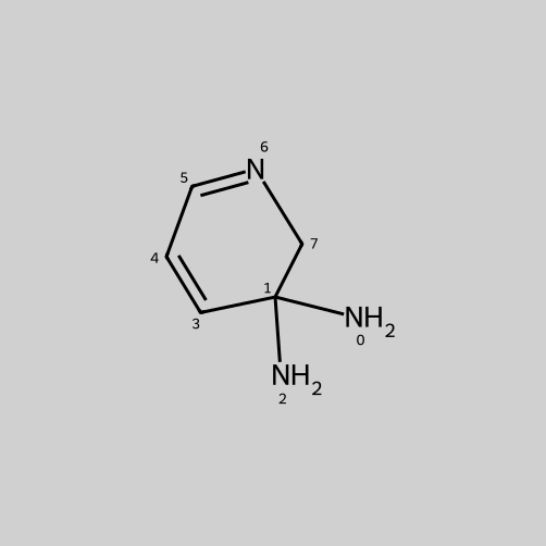 NC1(N)C=CC=NC1